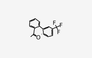 CC(=O)c1ccccc1-c1[c]ccc(C(F)(F)F)c1